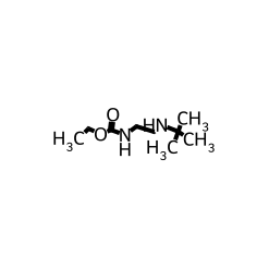 CCOC(=O)NCCNC(C)(C)C